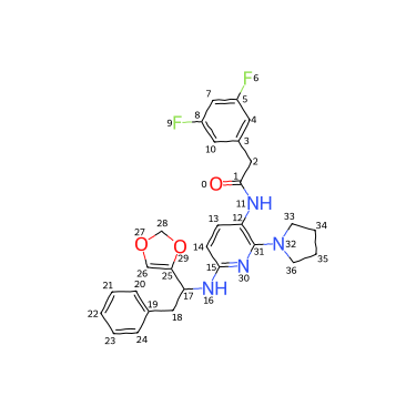 O=C(Cc1cc(F)cc(F)c1)Nc1ccc(NC(Cc2ccccc2)C2=COCO2)nc1N1CCCC1